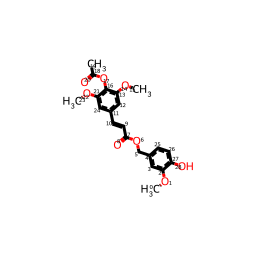 COc1cc(COC(=O)/C=C/c2cc(OC)c(OC(C)=O)c(OC)c2)ccc1O